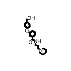 O=C(NCCCN1CCCCC1)c1cccc(Oc2ccc(CO)cc2)c1